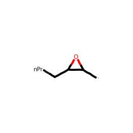 [CH2]C1OC1CCCC